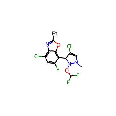 CCc1nc2c(Cl)cc(F)c(C3C(Cl)=CN(C)N3OC(F)F)c2o1